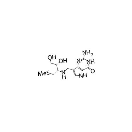 CSC[C@@H](NCc1c[nH]c2c(=O)[nH]c(N)nc12)[C@@H](O)CO